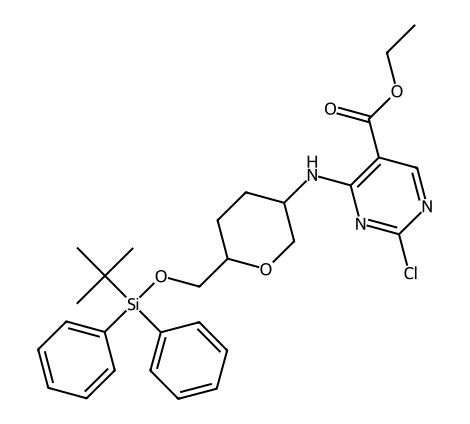 CCOC(=O)c1cnc(Cl)nc1NC1CCC(CO[Si](c2ccccc2)(c2ccccc2)C(C)(C)C)OC1